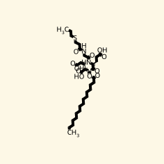 CCCCCCCCCCCCCCCC(=O)ON(C(=O)[C@H](CCC(=O)O)NC(=O)CNC(=O)CCSCCC)[C@@H](CCC(=O)O)C(=O)O